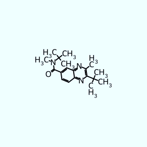 Cc1nc2cc(C(=O)N(C)C(C)(C)C)ccc2nc1C(C)(C)C